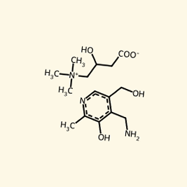 C[N+](C)(C)CC(O)CC(=O)[O-].Cc1ncc(CO)c(CN)c1O